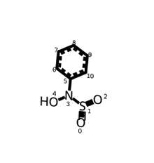 O=[SH](=O)N(O)c1ccccc1